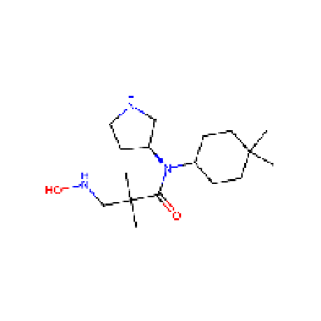 CC1(C)CCC(N(C(=O)C(C)(C)CNO)[C@H]2CCNC2)CC1